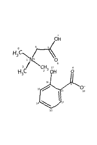 C[N+](C)(C)CC(=O)O.O=C([O-])c1ccccc1O